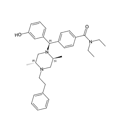 CCN(CC)C(=O)c1ccc([C@H](c2cccc(O)c2)N2C[C@@H](C)N(CCc3ccccc3)C[C@@H]2C)cc1